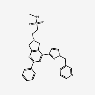 CNS(=O)(=O)CCN1Cc2nc(-c3ccccc3)nc(-c3ccn(Cc4cccnc4)n3)c2C1